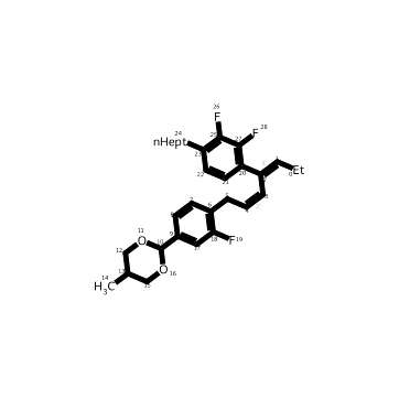 CC/C=C(\C=C/Cc1ccc(C2OCC(C)CO2)cc1F)c1ccc(CCCCCCC)c(F)c1F